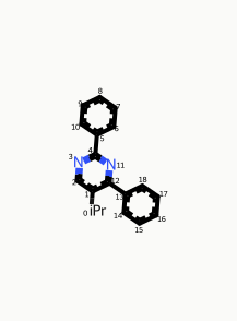 CC(C)c1cnc(-c2ccccc2)nc1-c1ccccc1